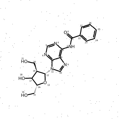 O=C(Nc1ncnc2c1ncn2[C@@H]1O[C@H](CO)C(O)[C@H]1CO)c1ccccc1